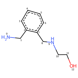 NCc1ccccc1CNCCO